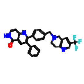 O=c1[nH]ccc2nc(-c3ccc(CN4CCc5ncc(C(F)(F)F)cc5C4)cc3)c(-c3ccccc3)cc12